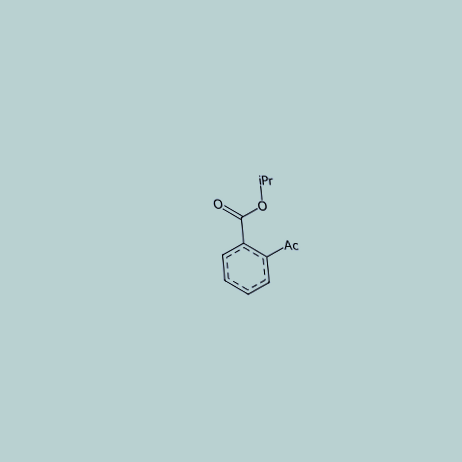 CC(=O)c1ccccc1C(=O)OC(C)C